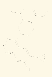 C=CC(=O)N1CCN(c2ncnc3cc(Cl)c(C4CC4)cc23)CC1C(N)=O